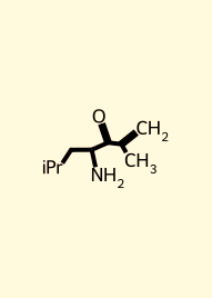 C=C(C)C(=O)C(N)CC(C)C